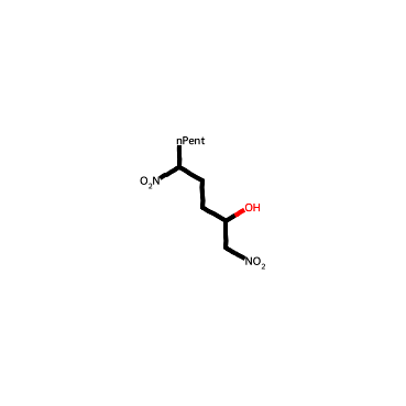 CCCCCC(CCC(O)C[N+](=O)[O-])[N+](=O)[O-]